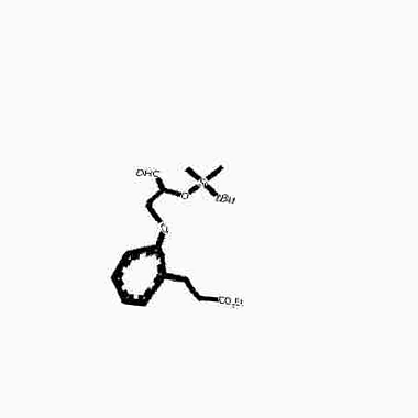 CCOC(=O)CCc1ccccc1OCC(C=O)O[Si](C)(C)C(C)(C)C